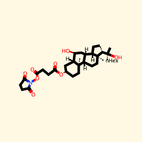 CCCCCC[C@](C)(O)[C@H]1CC[C@H]2[C@@H]3C[C@H](O)[C@H]4C[C@@H](OC(=O)CCC(=O)ON5C(=O)CCC5=O)CC[C@]4(C)[C@H]3CC[C@@]21C